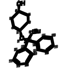 CC(C)(C)[Si](O[C@H]1CC[C@@H](O)CC1)(c1ccccc1)c1ccccc1